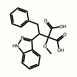 COC(C(=O)O)(C(=O)O)C(Cc1ccccc1)c1n[nH]c2ccccc12